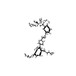 CCOP(=O)(CC(C)c1cccc(OCC2CCN(c3cc(OC)ccc3CCCC(C)(C)C)CC2)c1)OCC